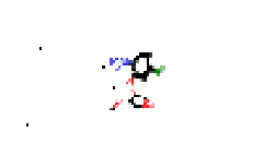 CO[C@@H]1COC[C@@H]1Oc1cc(F)ccc1N